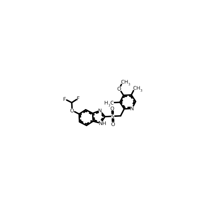 COc1c(C)cnc(CS(=O)(=O)c2nc3cc(OC(F)F)ccc3[nH]2)c1C